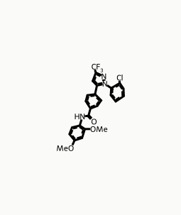 COc1ccc(NC(=O)c2ccc(-c3cc(C(F)(F)F)nn3-c3ccccc3Cl)cc2)c(OC)c1